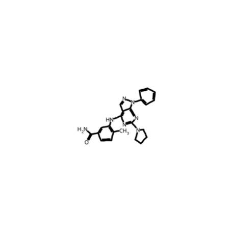 Cc1ccc(C(N)=O)cc1Nc1nc(N2CCCC2)nc2c1cnn2-c1ccccc1